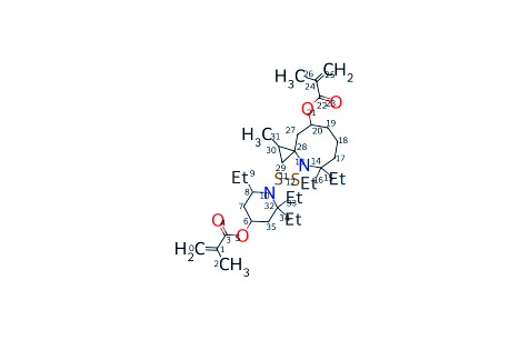 C=C(C)C(=O)OC1CC(CC)N(SSN2C(CC)(CC)CCCC(OC(=O)C(=C)C)CC23CC3C)C(CC)(CC)C1